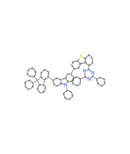 c1ccc(-c2nc(-c3ccccc3)nc(-c3cccc4sc5ccc(-c6ccc7c(c6)c6cc(-c8cccc9c8-c8ccccc8C9(c8ccccc8)c8ccccc8)ccc6n7-c6ccccc6)cc5c34)n2)cc1